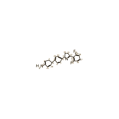 NC1=CCC(c2ccc(C3CCC(c4c(F)cccc4F)=N3)cc2)C=C1